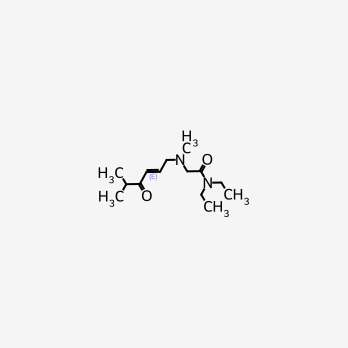 CCN(CC)C(=O)CN(C)C/C=C/C(=O)C(C)C